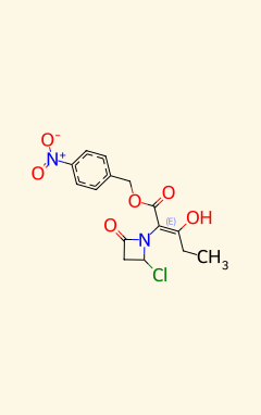 CC/C(O)=C(/C(=O)OCc1ccc([N+](=O)[O-])cc1)N1C(=O)CC1Cl